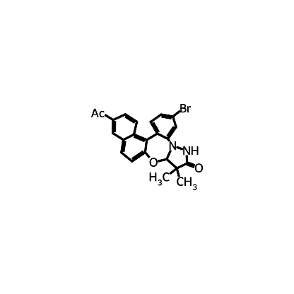 CC(=O)c1ccc2c3c(ccc2c1)OC1N(NC(=O)C1(C)C)c1cc(Br)ccc1-3